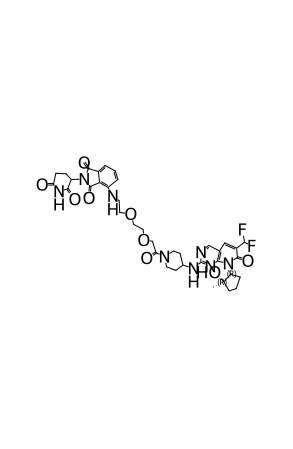 C[C@@]1(O)CCC[C@H]1n1c(=O)c(C(F)F)cc2cnc(NC3CCN(C(=O)COCCOCCNc4cccc5c4C(=O)N(C4CCC(=O)NC4=O)C5=O)CC3)nc21